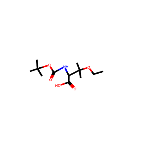 CCOC(C)(C)C(NC(=O)OC(C)(C)C)C(=O)O